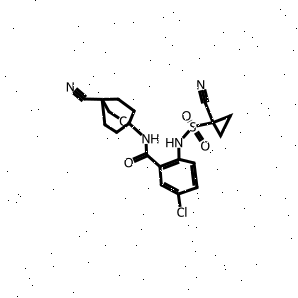 N#CC12CCC(NC(=O)c3cc(Cl)ccc3NS(=O)(=O)C3(C#N)CC3)(CC1)CC2